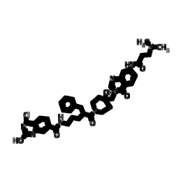 CN(C)CCC(=O)Nc1ccc2c(=O)n(CC3(O)CCN(C(=O)C(CCCNC(=O)c4ccc5c(Cl)nc(O)nc5c4)Cc4ccccc4)CC3)cnc2c1